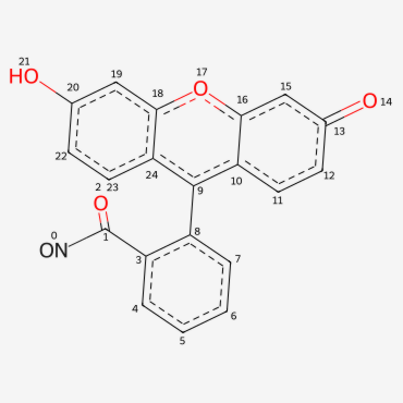 O=NC(=O)c1ccccc1-c1c2ccc(=O)cc-2oc2cc(O)ccc12